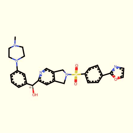 CN1CCN(c2cccc([C@H](O)c3cc4c(cn3)CN(S(=O)(=O)c3ccc(-c5ncco5)cc3)C4)c2)CC1